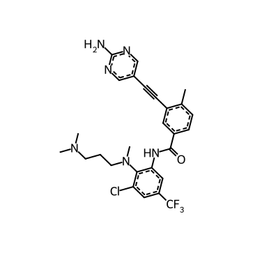 Cc1ccc(C(=O)Nc2cc(C(F)(F)F)cc(Cl)c2N(C)CCCN(C)C)cc1C#Cc1cnc(N)nc1